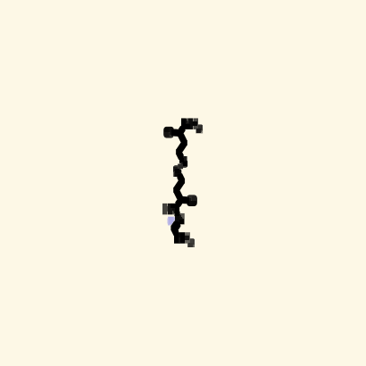 B/C=N/NC(=O)CCSSCCC(N)=O